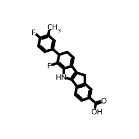 Cc1cc(C2CC=c3c4c([nH]c3=C2F)-c2ccc(C(=O)O)cc2C4)ccc1F